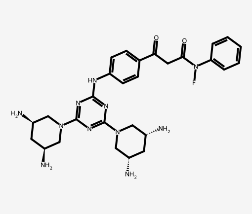 N[C@@H]1C[C@H](N)CN(c2nc(Nc3ccc(C(=O)CC(=O)N(F)c4ccccc4)cc3)nc(N3C[C@H](N)C[C@H](N)C3)n2)C1